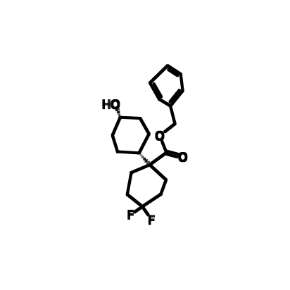 O=C(OCc1ccccc1)C1([C@H]2CC[C@@H](O)CC2)CCC(F)(F)CC1